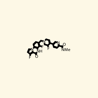 CNC(=O)c1ccc(C2=CCN(Cc3ccc4c([nH]c(=O)c5c(F)ccn54)c3F)CC2F)cn1